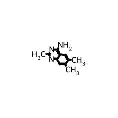 Cc1nc(N)c2cc(C)c(C)cc2n1